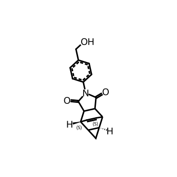 O=C1C2C(C(=O)N1c1ccc(CO)cc1)[C@@H]1C=CC2[C@H]2CC12